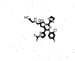 C#CCNC[C@@]1(O)CC2=C(c3ccn(C(F)F)n3)[C@H](c3ccc(F)cc3Cl)N=C(c3nccs3)N2C1